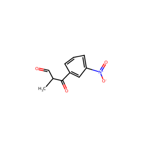 CC(C=O)C(=O)c1cccc([N+](=O)[O-])c1